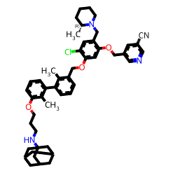 Cc1c(COc2cc(OCc3cncc(C#N)c3)c(CN3CCCC[C@H]3C)cc2Cl)cccc1-c1cccc(OCCCNC23CC4CC(CC(C4)C2)C3)c1C